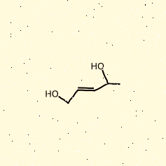 CC(O)/C=C/CO